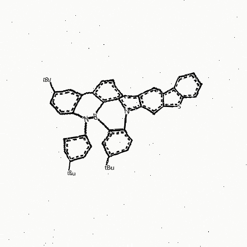 CC(C)(C)c1ccc(N2B3c4cc(C(C)(C)C)ccc4-n4c5cc6sc7ccccc7c6cc5c5ccc(c3c54)-c3cc(C(C)(C)C)ccc32)cc1